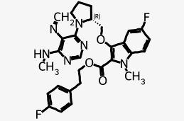 C=Nc1c(NC)ncnc1N1CCC[C@@H]1COc1c(C(=O)OCCc2ccc(F)cc2)n(C)c2ccc(F)cc12